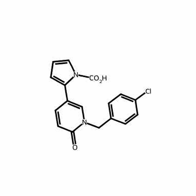 O=C(O)n1cccc1-c1ccc(=O)n(Cc2ccc(Cl)cc2)c1